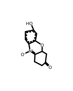 O=C1CCC2=[N+]([O-])c3ccc(O)cc3OC2C1